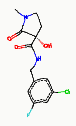 CN1CC[C@@](O)(C(=O)NCc2cc(F)cc(Cl)c2)C1=O